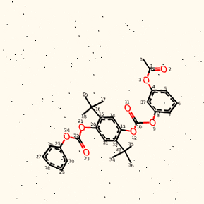 CC(=O)Oc1cccc(OC(=O)Oc2cc(C(C)(C)C)c(OC(=O)Oc3ccccc3)cc2C(C)(C)C)c1